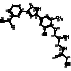 CCc1cc(N2C=C(c3ccnc(C(CC)CC)c3)ON2)cc(C)c1OCC(O)CNC(=O)CO